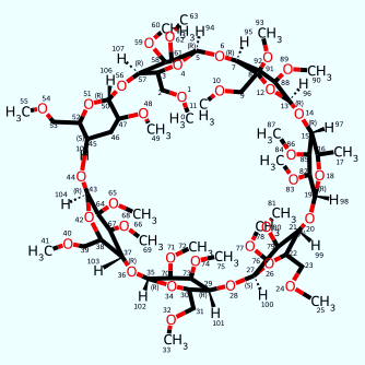 COCC1O[C@@H]2O[C@@H]3C(COC)O[C@H](O[C@@H]4C(C)O[C@H](O[C@@H]5C(COC)O[C@@H](O[C@@H]6C(COC)O[C@H](O[C@@H]7C(COC)O[C@@H](O[C@H]8CC(OC)[C@H](OC8COC)O[C@H]1C(OC)C2OC)C(OC)C7OC)C(OC)C6OC)C(OC)C5OC)C(OC)C4OC)C(OC)C3OC